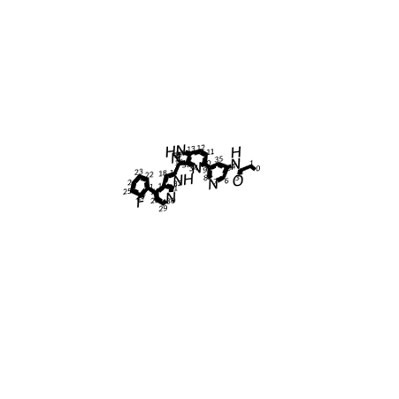 CCC(=O)Nc1cncc(-c2ccc3[nH]nc(-c4cc5c(-c6ccccc6F)ccnc5[nH]4)c3n2)c1